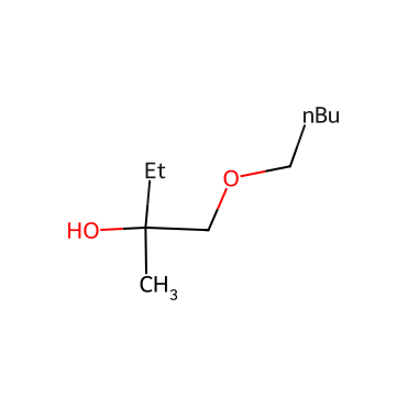 CCCCCOCC(C)(O)CC